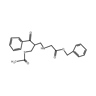 CC(=O)SCC(CNCC(=O)OCc1ccccc1)C(=O)c1ccccc1